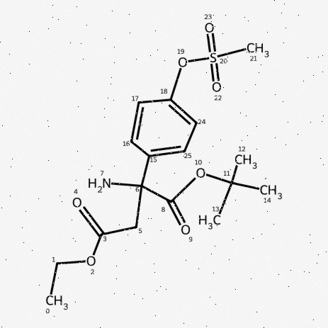 CCOC(=O)CC(N)(C(=O)OC(C)(C)C)c1ccc(OS(C)(=O)=O)cc1